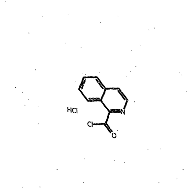 Cl.O=C(Cl)c1nccc2ccccc12